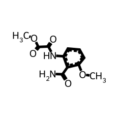 COC(=O)C(=O)Nc1cccc(OC)c1C(N)=O